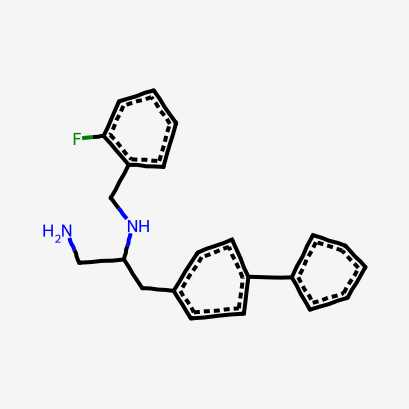 NCC(Cc1ccc(-c2ccccc2)cc1)NCc1ccccc1F